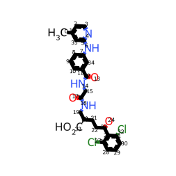 Cc1ccnc(Nc2cccc(C(=O)NCC(=O)NC[C@H](CCC(=O)c3c(Cl)cccc3Cl)C(=O)O)c2)c1